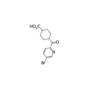 O=C(O)C1CCC(C(=O)c2ccc(Br)cn2)CC1